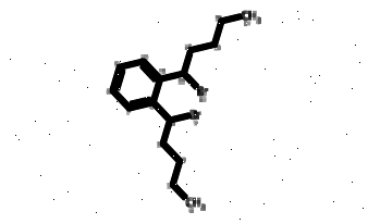 CCCCC(Br)c1ccccc1C(Br)CCCC